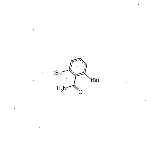 CC(C)(C)c1cccc(C(C)(C)C)c1C(N)=O